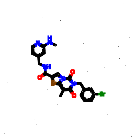 CNc1cc(CNC(=O)c2cn3c(=O)n(Cc4cccc(Br)c4)c(=O)c(C)c3s2)ccn1